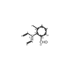 C=C[SiH](C=C)c1c(C)cccc1[C]=O